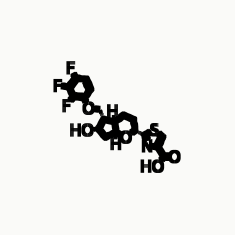 O=C(O)c1csc([C@H]2CC[C@@H]3[C@@H](COc4ccc(F)c(F)c4F)[C@H](O)C[C@@H]3O2)n1